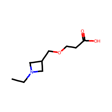 CCN1CC(COCCC(=O)O)C1